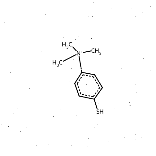 C[N+](C)(C)c1ccc(S)cc1